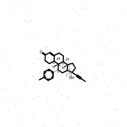 CC#C[C@]1(O)CC[C@H]2[C@@H]3CCC4=CC(=O)CC[C@@H]4[C@H]3[C@@H](c3ccc(C)cc3)C[C@@]21C